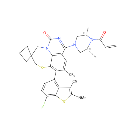 C=CC(=O)N1[C@H](C)CN(c2nc(=O)n3c4c(c(-c5ccc(F)c6sc(NC)c(C#N)c56)c(C(F)(F)F)cc24)SCC2(CCC2)C3)C[C@@H]1C